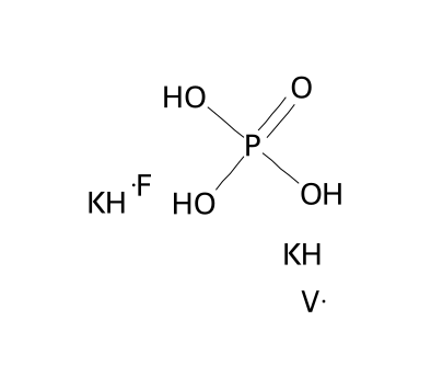 O=P(O)(O)O.[F].[KH].[KH].[V]